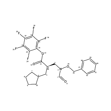 O=CN(C[C@@H](CC1CCCC1)C(=O)Oc1c(F)c(F)c(F)c(F)c1F)OCc1ccccc1